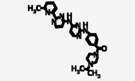 Cc1cccc(-c2nccc(Nc3ccnc(Nc4ccc(C(=O)N5CCN(C(C)C)CC5)cc4)n3)n2)n1